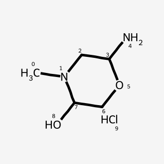 CN1CC(N)OCC1O.Cl